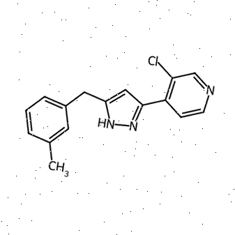 Cc1cccc(Cc2cc(-c3ccncc3Cl)n[nH]2)c1